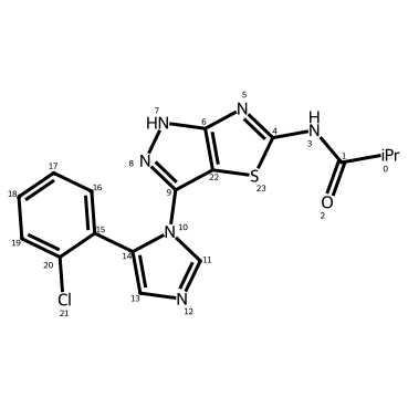 CC(C)C(=O)Nc1nc2[nH]nc(-n3cncc3-c3ccccc3Cl)c2s1